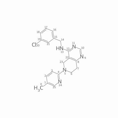 Cc1ccc(N2CCc3ncnc(NCc4cccc(Cl)c4)c3C2)nc1